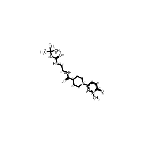 Cn1nc(N2CCC(C(=O)NCCNC(=O)OC(C)(C)C)CC2)ccc1=O